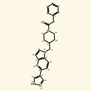 O=C(Cc1ccccc1)N1CCC(Cn2ccc3nc(-c4cn[nH]c4)ccc32)CC1